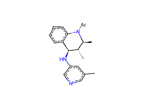 CC(=O)N1c2ccccc2[C@H](Nc2cncc(C)c2)[C@@H](C)[C@@H]1C